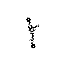 CSCCCN1C(=O)[C@H](CCCCNC(=O)OCc2ccccc2)NC(=O)C12CCN(CCc1ccccc1)CC2